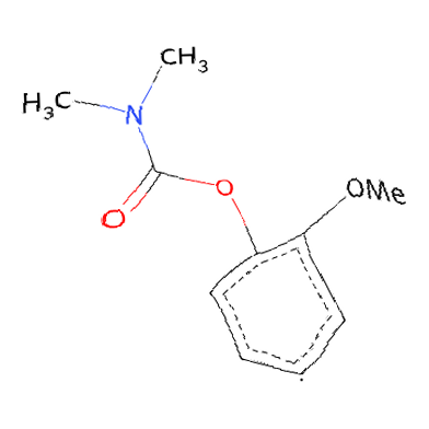 COc1c[c]ccc1OC(=O)N(C)C